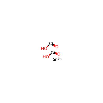 O=[C-]O.O=[C-]O.[Sn+2]